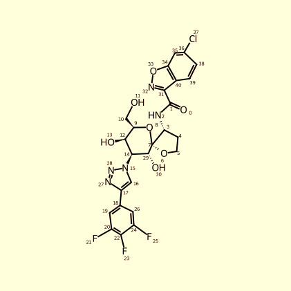 O=C(N[C@@H]1CCO[C@]12O[C@H](CO)[C@H](O)[C@H](n1cc(-c3cc(F)c(F)c(F)c3)nn1)[C@H]2O)c1noc2cc(Cl)ccc12